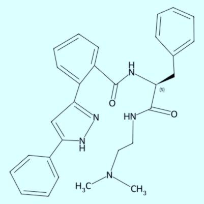 CN(C)CCNC(=O)[C@H](Cc1ccccc1)NC(=O)c1ccccc1-c1cc(-c2ccccc2)[nH]n1